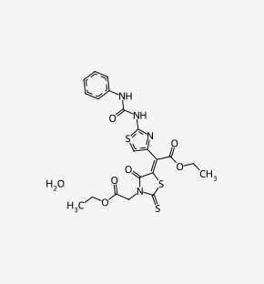 CCOC(=O)CN1C(=O)/C(=C(/C(=O)OCC)c2csc(NC(=O)Nc3ccccc3)n2)SC1=S.O